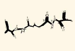 C=C(C)C(=O)ONC(=O)CCCC(=O)NOC(=O)C(=C)C